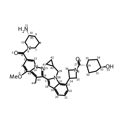 COc1cc(C(=O)N2CCC[C@@H](N)C2)cn2nc(-c3cc4cccc(C5CN(C(=O)[C@H]6CC[C@H](O)CC6)C5)c4n3CC3CC3)c(C)c12